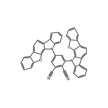 N#Cc1cc(-n2c3ccccc3c3ccc4c5ccccc5oc4c32)cc(-n2c3ccccc3c3ccc4c5ccccc5oc4c32)c1C#N